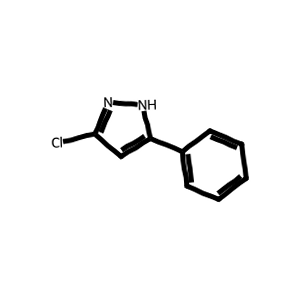 Clc1cc(-c2ccccc2)[nH]n1